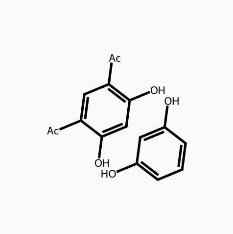 CC(=O)c1cc(C(C)=O)c(O)cc1O.Oc1cccc(O)c1